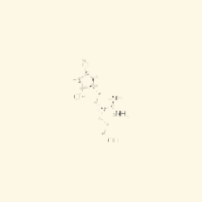 N=C(N)N(CCCO)CCc1cc(Cl)sc1Cl